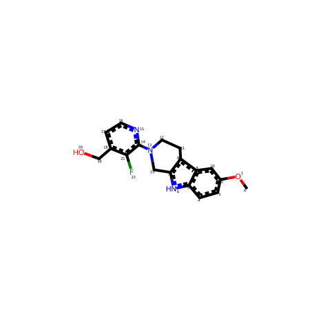 COc1ccc2[nH]c3c(c2c1)CCN(c1nccc(CO)c1F)C3